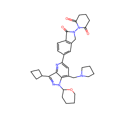 O=C1c2ccc(-c3cc(CN4CCCC4)c4c(n3)c(C3CCC3)nn4C3CCCCO3)cc2CN1N1C(=O)CCCC1=O